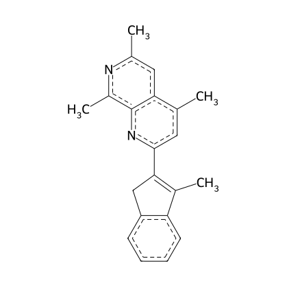 CC1=C(c2cc(C)c3cc(C)nc(C)c3n2)Cc2ccccc21